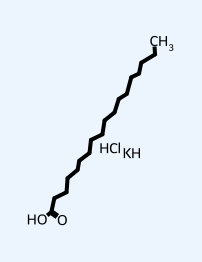 CCCCCCCCCCCCCCCCCC(=O)O.Cl.[KH]